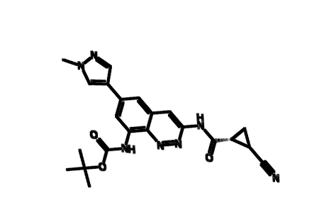 Cn1cc(-c2cc(NC(=O)OC(C)(C)C)c3nnc(NC(=O)[C@@H]4CC4C#N)cc3c2)cn1